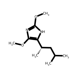 COc1nc(OC)c([C@@H](C)CC(C)C)[nH]1